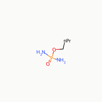 CCCCOP(N)(N)=O